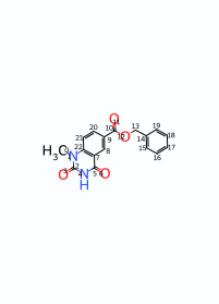 Cn1c(=O)[nH]c(=O)c2cc(C(=O)OCc3ccccc3)ccc21